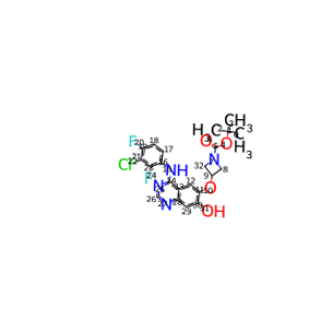 CC(C)(C)OC(=O)N1CC(Oc2cc3c(Nc4ccc(F)c(Cl)c4F)ncnc3cc2O)C1